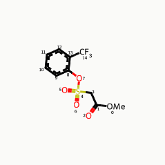 COC(=O)CS(=O)(=O)Oc1ccccc1C(F)(F)F